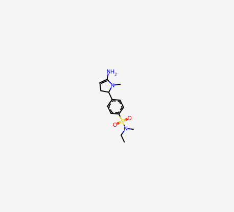 CCN(C)S(=O)(=O)c1ccc(C2CC=C(N)N2C)cc1